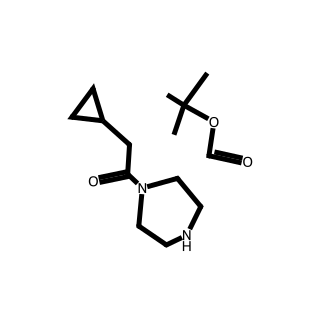 CC(C)(C)OC=O.O=C(CC1CC1)N1CCNCC1